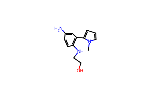 Cn1cccc1-c1cc(N)ccc1NCCO